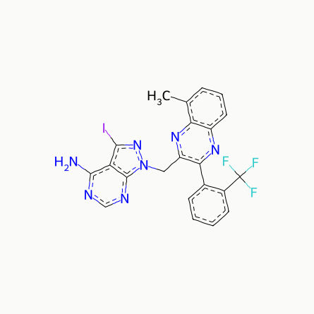 Cc1cccc2nc(-c3ccccc3C(F)(F)F)c(Cn3nc(I)c4c(N)ncnc43)nc12